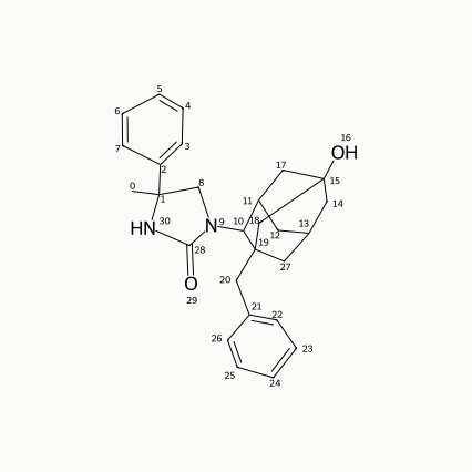 CC1(c2ccccc2)CN(C2C3CC4CC(O)(C3)CC2(Cc2ccccc2)C4)C(=O)N1